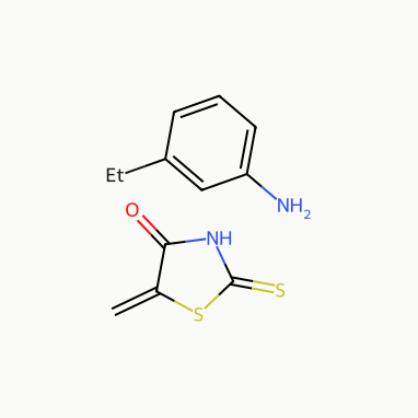 C=C1SC(=S)NC1=O.CCc1cccc(N)c1